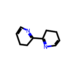 C1=CN=C(C2=NC=CCC2)CC1